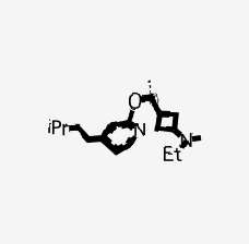 CCN(C)C1CC([C@@H](C)Oc2cc(CCC(C)C)ccn2)C1